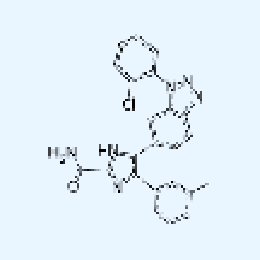 Cc1cccc(-c2nc(C(N)=O)[nH]c2-c2ccc3nnn(-c4ccccc4Cl)c3c2)c1